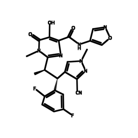 C[C@@H](c1nc(C(=O)Nc2cnoc2)c(O)c(=O)n1C)[C@@H](c1cc(F)ccc1F)c1cn(C)nc1C#N